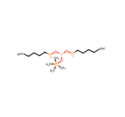 CCCCCCCCCCCCCCPOB(OPCCCCCCCCCCCCCC)OP(C)(C)(C)C